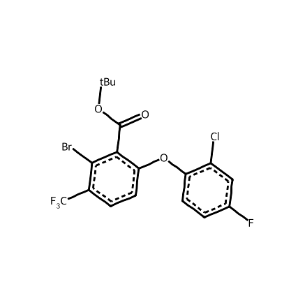 CC(C)(C)OC(=O)c1c(Oc2ccc(F)cc2Cl)ccc(C(F)(F)F)c1Br